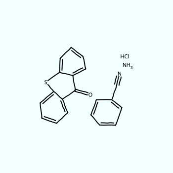 Cl.N.N#Cc1ccccc1.O=c1c2ccccc2sc2ccccc12